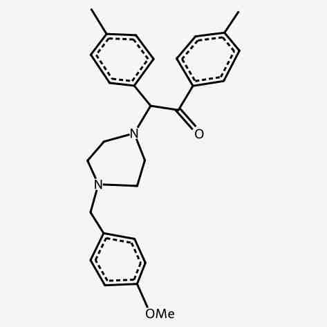 COc1ccc(CN2CCN(C(C(=O)c3ccc(C)cc3)c3ccc(C)cc3)CC2)cc1